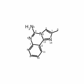 Cc1cn2c(N)nc3ccccc3c2n1